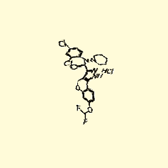 Cl.O=C(c1n[nH]c2c1COc1cc(OC(F)F)ccc1-2)N(c1ccc(Cl)cc1Cl)N1CCCCC1